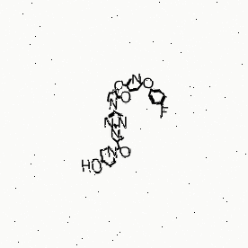 O=C(C1CN(c2ncc(N3CC[C@@H](Oc4ccc(Oc5ccc(F)cc5)nc4)C3=O)cn2)C1)N1CCC(O)CC1